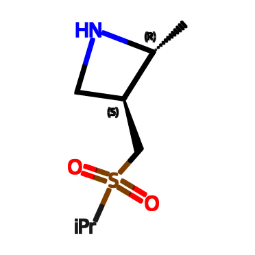 CC(C)S(=O)(=O)C[C@H]1CN[C@@H]1C